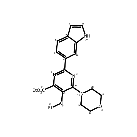 CCOC(=O)c1nc(-c2ccc3cc[nH]c3c2)nc(N2CCOCC2)c1OCC